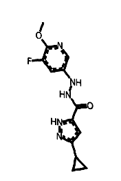 COc1ncc(NNC(=O)c2cc(C3CC3)n[nH]2)cc1F